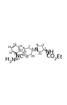 CCOC(=O)N[C@@H]1CCN(C2CCC(C#N)(c3ccccc3CN)CC2)C1